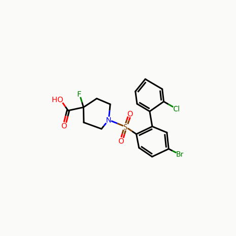 O=C(O)C1(F)CCN(S(=O)(=O)c2ccc(Br)cc2-c2ccccc2Cl)CC1